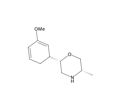 COC1=CC([C@H]2CN[C@@H](C)CO2)CC=C1